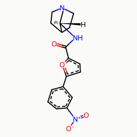 O=C(N[C@H]1CN2CCC1CC2)c1ccc(-c2cccc([N+](=O)[O-])c2)o1